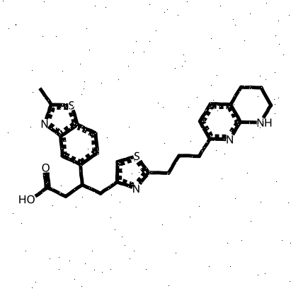 Cc1nc2cc(C(CC(=O)O)Cc3csc(CCCc4ccc5c(n4)NCCC5)n3)ccc2s1